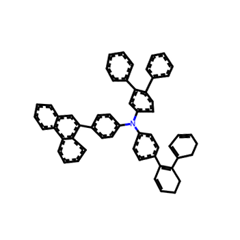 C1=CCCC(C2=C(c3ccc(N(c4ccc(-c5cc6ccccc6c6ccccc56)cc4)c4ccc(-c5ccccc5)c(-c5ccccc5)c4)cc3)C=CCC2)=C1